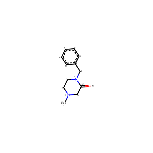 CCC(C)N1CCN(Cc2ccccc2)C(=O)C1